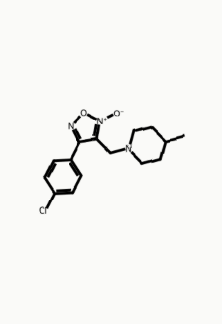 CC1CCN(Cc2c(-c3ccc(Cl)cc3)no[n+]2[O-])CC1